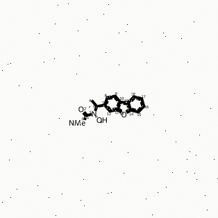 CNC(=O)N(O)C(C)c1ccc2c(c1)oc1ccccc12